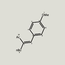 CCCCC(=Cc1ccc(OC)cc1)C(C)=O